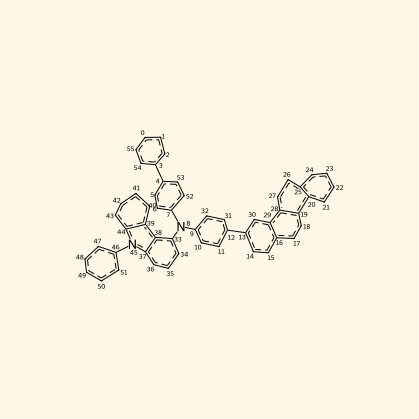 c1ccc(-c2ccc(N(c3ccc(-c4ccc5ccc6c7ccccc7ccc6c5c4)cc3)c3cccc4c3c3ccccc3n4-c3ccccc3)cc2)cc1